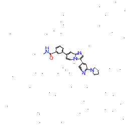 CNC(=O)c1cccc(-c2ccn3c(-c4ccnc(N5CCCC5)c4)cnc3c2)c1